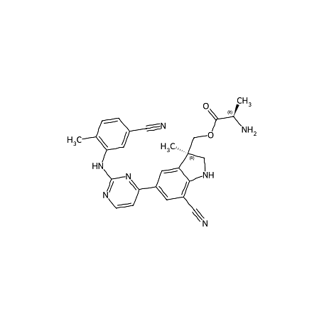 Cc1ccc(C#N)cc1Nc1nccc(-c2cc(C#N)c3c(c2)[C@@](C)(COC(=O)[C@@H](C)N)CN3)n1